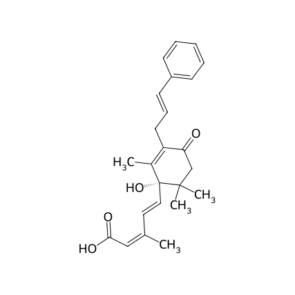 CC1=C(C/C=C/c2ccccc2)C(=O)CC(C)(C)[C@@]1(O)/C=C/C(C)=C\C(=O)O